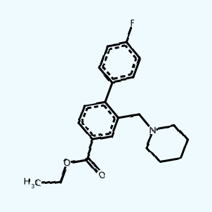 CCOC(=O)c1ccc(-c2ccc(F)cc2)c(CN2CCCCC2)c1